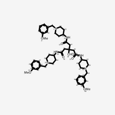 COc1cccc(CN2CCC(NC(=O)CC([C]=O)(CC(=O)NC3CCN(Cc4cccc(OC)c4)CC3)CC(=O)NC3CCN(Cc4cccc(OC)c4)CC3)CC2)c1